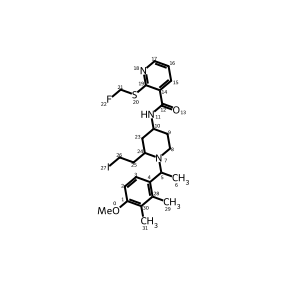 COc1ccc(C(C)N2CCC(NC(=O)c3cccnc3SCF)CC2CCI)c(C)c1C